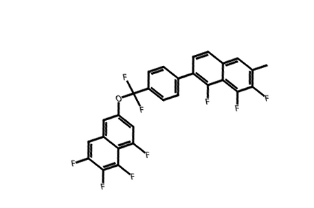 Cc1cc2ccc(-c3ccc(C(F)(F)Oc4cc(F)c5c(F)c(F)c(F)cc5c4)cc3)c(F)c2c(F)c1F